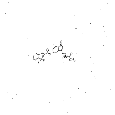 CC(=O)NCCc1c[nH]c2ccc(OC(=O)/C=C/c3ccccc3C(F)(F)F)cc12